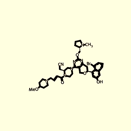 COC1CCN(C/C=C/C(=O)N2CCN(c3nc(OC[C@@H]4CCCN4C)nc4c3CO[C@H](c3cc(O)cc5cccc(Br)c35)C4)C[C@@H]2CC#N)CC1